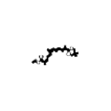 CCOC(=O)C(C)=CC=CC(C)=CC=CC=C(C)C1OCC(C)(C)CO1